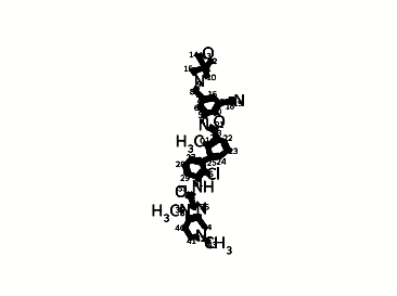 Cc1c(-c2nc3cc(CN4CC5(COC5)C4)cc(C#N)c3o2)cccc1-c1cccc(NC(=O)c2nc3c(n2C)CCN(C)C3)c1Cl